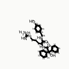 N=C(N)NCCCC(NC(=O)C(O)(c1ccccc1)c1ccccc1)C(=O)NCc1ccc(O)cc1